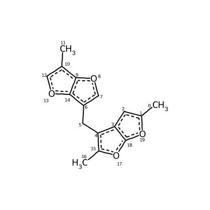 Cc1cc2c(Cc3coc4c(C)coc34)c(C)oc2o1